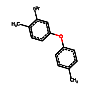 CCCc1cc(Oc2ccc(C)cc2)ccc1C